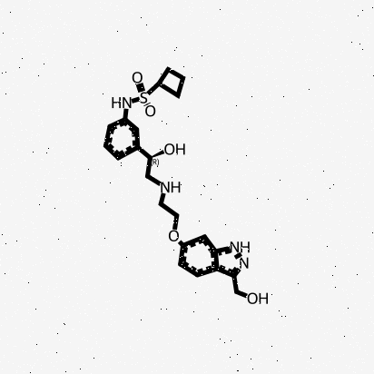 O=S(=O)(Nc1cccc([C@@H](O)CNCCOc2ccc3c(CO)n[nH]c3c2)c1)C1CCC1